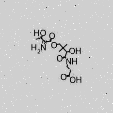 C[C@@H](O)[C@H](N)C(=O)OCC(C)(C)C(O)C(=O)NCCC(=O)O